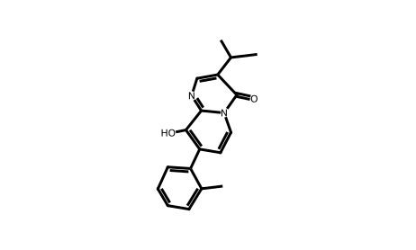 Cc1ccccc1-c1ccn2c(=O)c(C(C)C)cnc2c1O